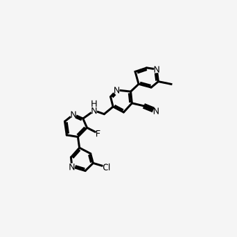 Cc1cc(-c2ncc(CNc3nccc(-c4cncc(Cl)c4)c3F)cc2C#N)ccn1